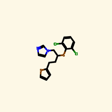 Clc1cccc(Cl)c1SC(CCc1cccs1)Cn1ccnc1